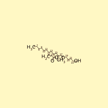 C=CC(=O)OC.CCCCCCCCCCCCOCCCCO